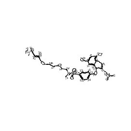 CN(C)[C@@H]1Cc2c(Cl)cc(Cl)cc2[C@@H]1Oc1ccc(S(=O)(=O)N(C)CCOCCOCCN)cc1